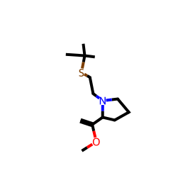 C=C(OC)C1CCCN1CCSC(C)(C)C